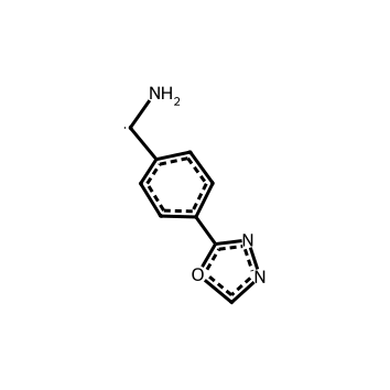 N[CH]c1ccc(-c2nnco2)cc1